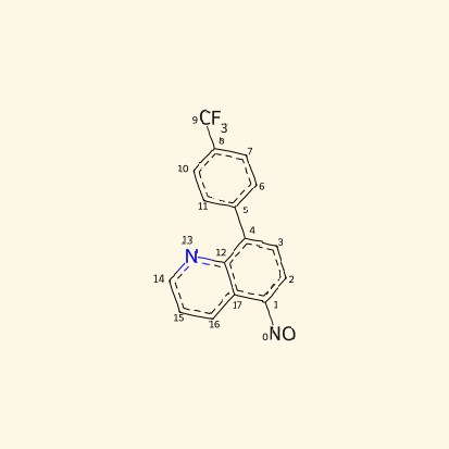 O=Nc1ccc(-c2ccc(C(F)(F)F)cc2)c2ncccc12